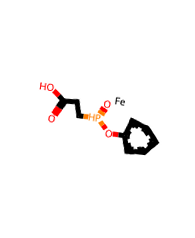 O=C(O)CC[PH](=O)Oc1ccccc1.[Fe]